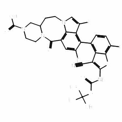 CC(C)(C)OC(=O)Nc1sc2c(F)ccc(-c3c(F)cc4c5c3c(F)cn5CCC3CN(C(=O)O)CCN3C4=O)c2c1C#N